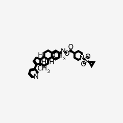 C[C@]12CCC(=NOC(=O)C3CCN(S(=O)(=O)C4CC4)CC3)C=C1CC[C@H]1[C@@H]2CC[C@]2(C)C(c3cccnc3)=CC[C@@H]12